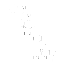 Nc1nc(Oc2ccc(NC(=O)N[C@@H](Cc3c[nH]c4ccccc34)C(=O)O)cc2)c2cc[nH]c2n1